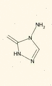 C=C1NN=CN1N